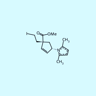 COC(=O)[C@@]1(CCI)C=C[C@@H](n2c(C)ccc2C)C1